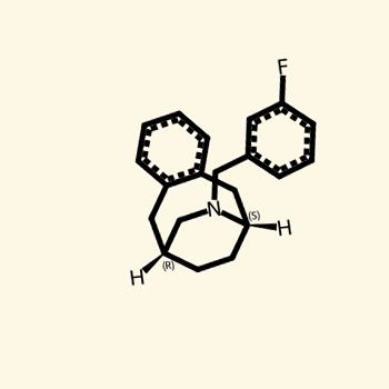 Fc1cccc(CN2C[C@@H]3CC[C@H]2Cc2ccccc2C3)c1